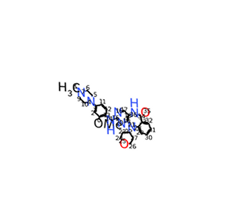 COc1cc(N2CCN(C)CC2)ccc1Nc1ncc2c(n1)N(C1CCOCC1)c1ccccc1C(=O)N2